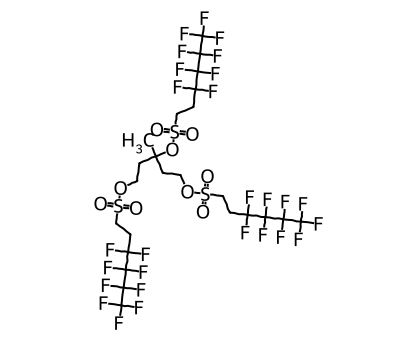 CC(CCOS(=O)(=O)CCC(F)(F)C(F)(F)C(F)(F)C(F)(F)F)(CCOS(=O)(=O)CCC(F)(F)C(F)(F)C(F)(F)C(F)(F)F)OS(=O)(=O)CCC(F)(F)C(F)(F)C(F)(F)C(F)(F)F